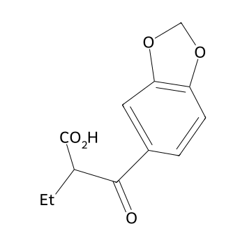 CCC(C(=O)O)C(=O)c1ccc2c(c1)OCO2